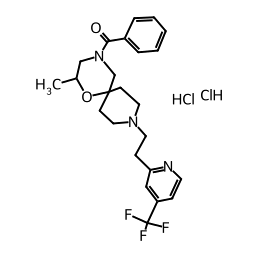 CC1CN(C(=O)c2ccccc2)CC2(CCN(CCc3cc(C(F)(F)F)ccn3)CC2)O1.Cl.Cl